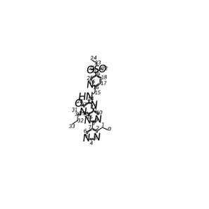 CCc1ncncc1-c1ncc2nc(NCc3ccc(S(=O)(=O)CC)cn3)c(=O)n([C@@H](C)CC)c2n1